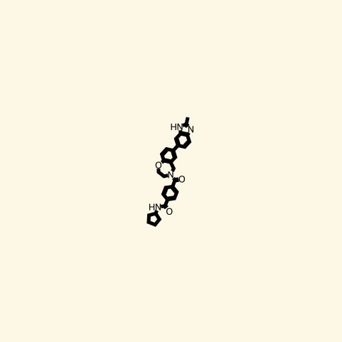 Cc1nc2ccc(-c3ccc4c(c3)CN(C(=O)c3ccc(C(=O)NC5CCCC5)cc3)CCO4)cc2[nH]1